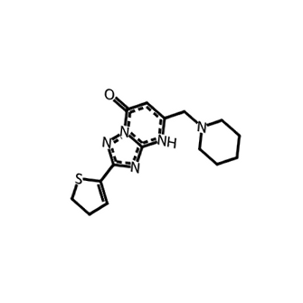 O=c1cc(CN2CCCCC2)[nH]c2nc(C3=CCCS3)nn12